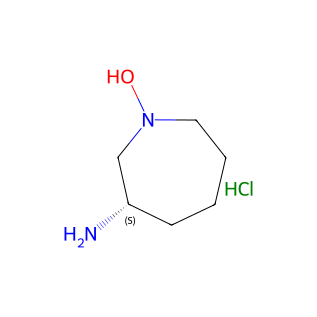 Cl.N[C@H]1CCCCN(O)C1